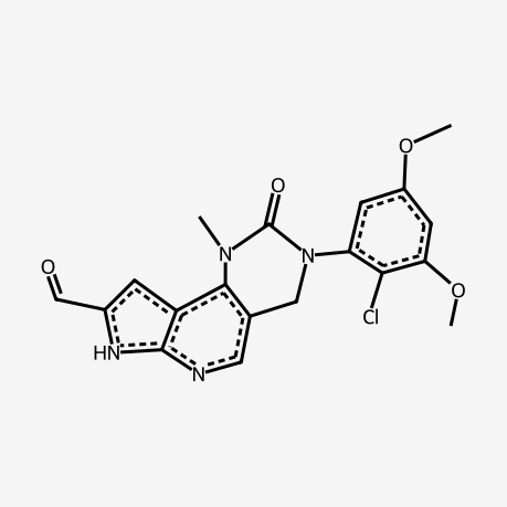 COc1cc(OC)c(Cl)c(N2Cc3cnc4[nH]c(C=O)cc4c3N(C)C2=O)c1